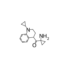 NC1(C(=O)C2CCN(C3CC3)c3ccccc32)CC1